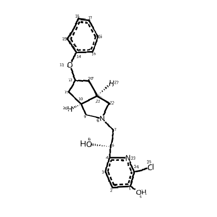 Oc1ccc([C@H](O)CN2C[C@H]3CC(Oc4ccccc4)C[C@H]3C2)nc1Cl